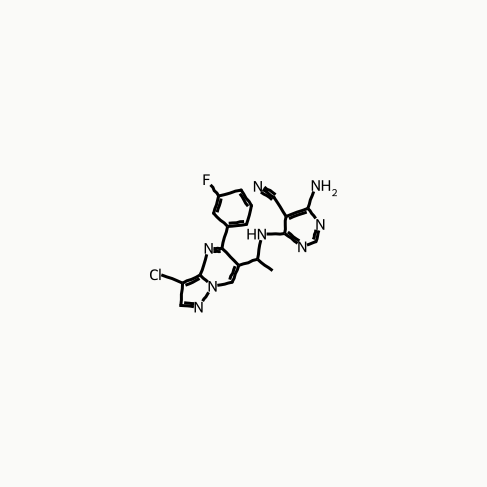 CC(Nc1ncnc(N)c1C#N)c1cn2ncc(Cl)c2nc1-c1cccc(F)c1